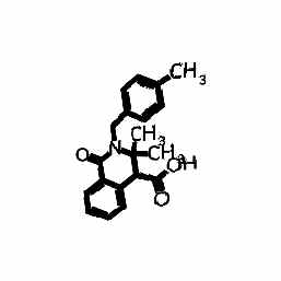 Cc1ccc(CN2C(=O)c3ccccc3C(C(=O)O)C2(C)C)cc1